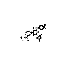 Cc1cc(C)n(-c2nc(NC3CCC(F)(F)CC3)cc(N3CCOC(C(N)=O)C3)n2)n1